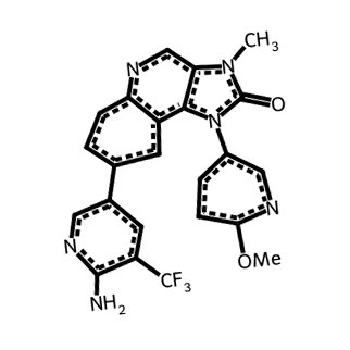 COc1ccc(-n2c(=O)n(C)c3cnc4ccc(-c5cnc(N)c(C(F)(F)F)c5)cc4c32)cn1